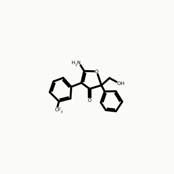 NC1=C(c2cccc(C(F)(F)F)c2)C(=O)C(CO)(c2ccccc2)O1